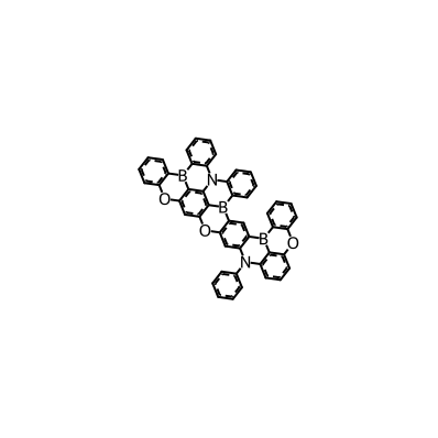 c1ccc(N2c3cc4c(cc3B3c5ccccc5Oc5cccc2c53)B2c3ccccc3N3c5ccccc5B5c6ccccc6Oc6cc(c2c3c65)O4)cc1